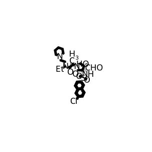 CCN(CCN1CCCCC1)C(=O)[C@H](C)N1CC[C@H](NS(=O)(=O)c2ccc3cc(Cl)ccc3c2)C1=O.O=CO